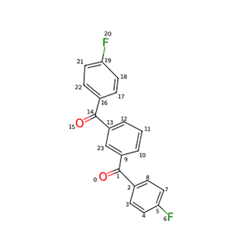 O=C(c1ccc(F)cc1)c1cccc(C(=O)c2ccc(F)cc2)c1